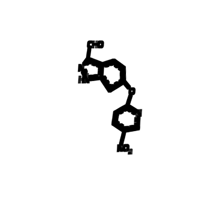 O=Cc1n[nH]c2cc(Oc3ccc([N+](=O)[O-])cn3)ccc12